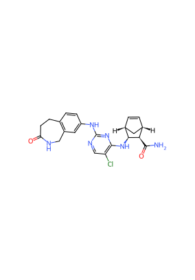 NC(=O)[C@H]1[C@@H](Nc2nc(Nc3ccc4c(c3)CNC(=O)CC4)ncc2Cl)[C@@H]2C=C[C@H]1C2